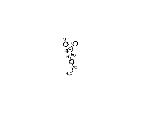 CCOC(=O)c1ccc(NC(=O)C(CO[C@H]2CCCCO2)NS(=O)(=O)c2ccc(Cl)cc2)cc1